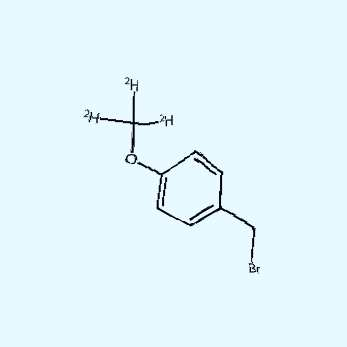 [2H]C([2H])([2H])Oc1ccc(CBr)cc1